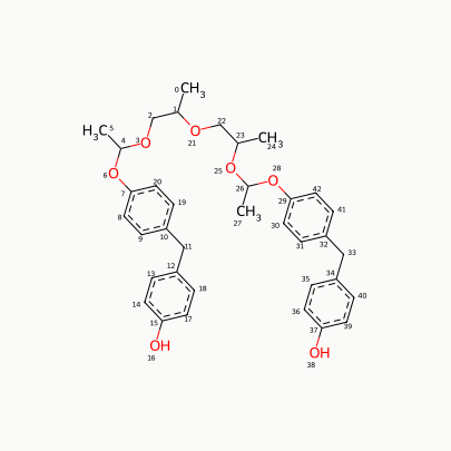 CC(COC(C)Oc1ccc(Cc2ccc(O)cc2)cc1)OCC(C)OC(C)Oc1ccc(Cc2ccc(O)cc2)cc1